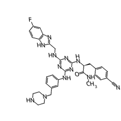 CNC(=O)[C@H](Cc1ccc(C#N)cc1)Nc1nc(NCc2nc3cc(F)ccc3[nH]2)nc(Nc2cccc(CN3CCNCC3)c2)n1